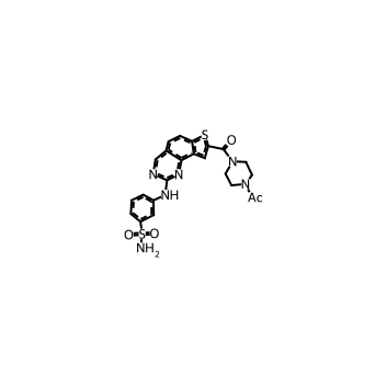 CC(=O)N1CCN(C(=O)c2cc3c(ccc4cnc(Nc5cccc(S(N)(=O)=O)c5)nc43)s2)CC1